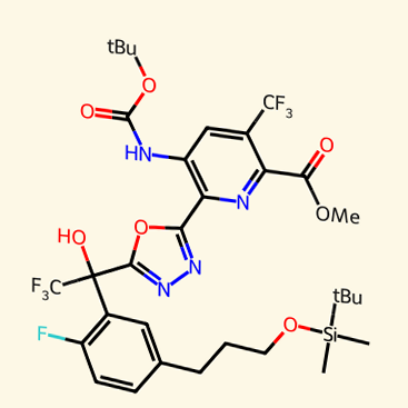 COC(=O)c1nc(-c2nnc(C(O)(c3cc(CCCO[Si](C)(C)C(C)(C)C)ccc3F)C(F)(F)F)o2)c(NC(=O)OC(C)(C)C)cc1C(F)(F)F